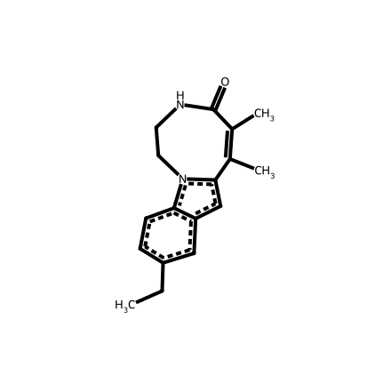 CCc1ccc2c(c1)cc1n2CCNC(=O)/C(C)=C\1C